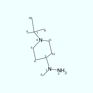 CN(N)C1CCN(C(C)(C)C)CC1